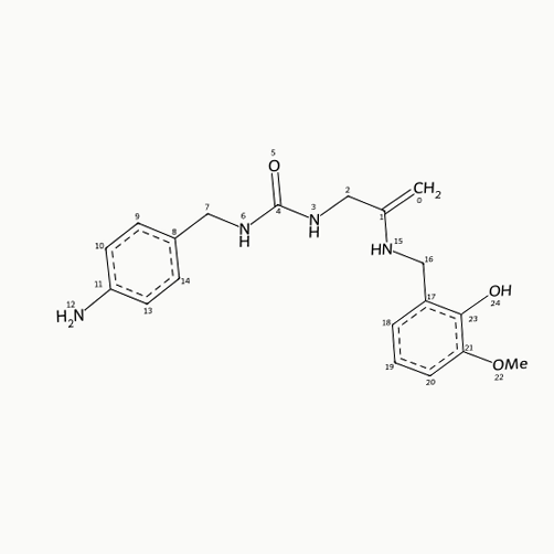 C=C(CNC(=O)NCc1ccc(N)cc1)NCc1cccc(OC)c1O